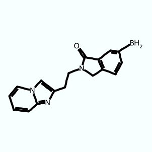 Bc1ccc2c(c1)C(=O)N(CCc1cn3ccccc3n1)C2